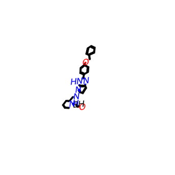 O=CBN1CCCCC1CNc1ccc2nc(-c3ccc(OCc4ccccc4)cc3)[nH]c2n1